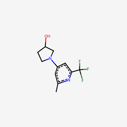 Cc1cc(N2CCC(O)C2)cc(C(F)(F)F)n1